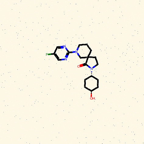 O=C1N([C@H]2CC[C@H](O)CC2)CCC12CCCN(c1ncc(F)cn1)C2